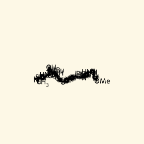 COC1CCN(c2nccc(Nc3cc4c(cn3)nc(COCCN3CCN(c5ccc(OC6CC(OCC(=O)N[C@H](C(=O)N7CC(O)CC7C(=O)NCc7ccc(-c8scnc8C)cc7)C(C)(C)C)C6)cc5)CC3)n4C(C)C)n2)CC1